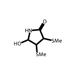 CSC1C(=O)NC(O)C1SC